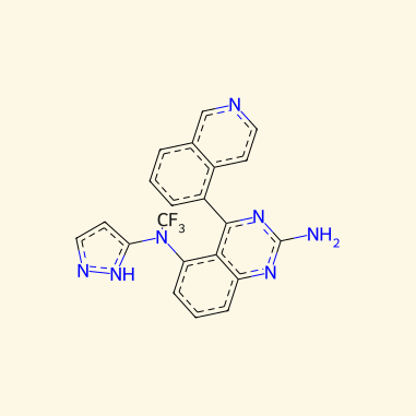 Nc1nc(-c2cccc3cnccc23)c2c(N(c3ccn[nH]3)C(F)(F)F)cccc2n1